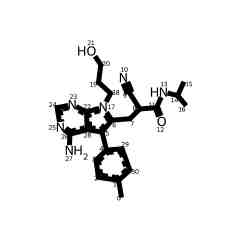 Cc1ccc(-c2c(CC(C#N)C(=O)NC(C)C)n(CCCO)c3ncnc(N)c23)cc1